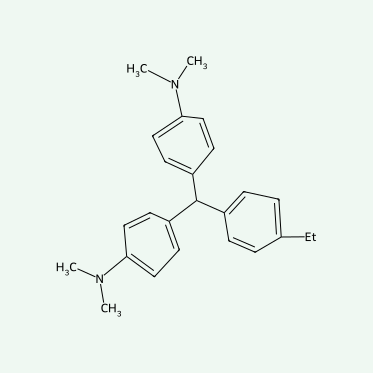 CCc1ccc(C(c2ccc(N(C)C)cc2)c2ccc(N(C)C)cc2)cc1